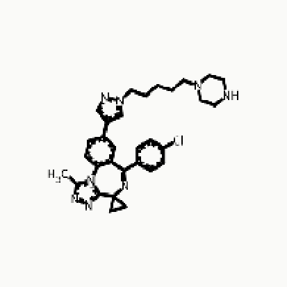 Cc1nnc2n1-c1ccc(-c3cnn(CCCCCN4CCNCC4)c3)cc1C(c1ccc(Cl)cc1)=NC21CC1